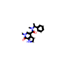 CC(c1ccccc1)N(C)C(=O)c1cn(C)c(=O)c2c1CCN2